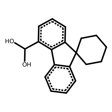 OC(O)c1cccc2c1-c1ccccc1C21CCCCC1